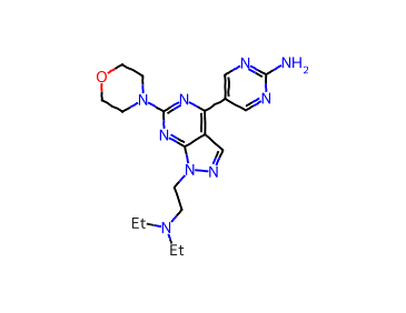 CCN(CC)CCn1ncc2c(-c3cnc(N)nc3)nc(N3CCOCC3)nc21